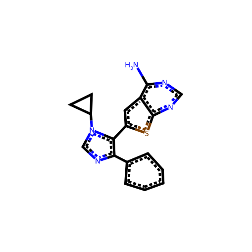 Nc1ncnc2sc(-c3c(-c4ccccc4)ncn3C3CC3)cc12